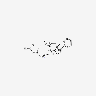 CCC(=O)O[C@@H]1C/C=C/C[C@@H]2[C@H](CC[C@]3(C)C(c4cccnc4)=CC[C@@H]23)C(C)(C)CC1